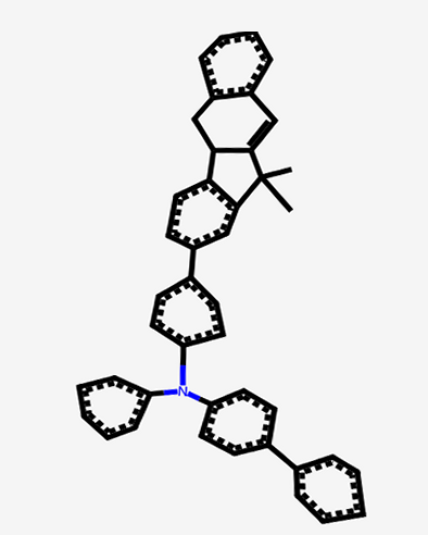 CC1(C)C2=Cc3ccccc3CC2c2ccc(-c3ccc(N(c4ccccc4)c4ccc(-c5ccccc5)cc4)cc3)cc21